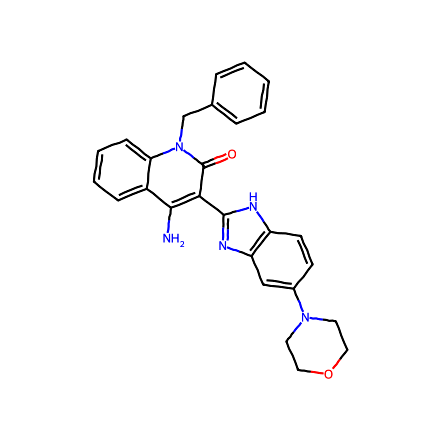 Nc1c(-c2nc3cc(N4CCOCC4)ccc3[nH]2)c(=O)n(Cc2ccccc2)c2ccccc12